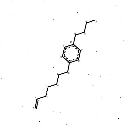 [CH]=CCCCCCc1ccc(CCCC)cc1